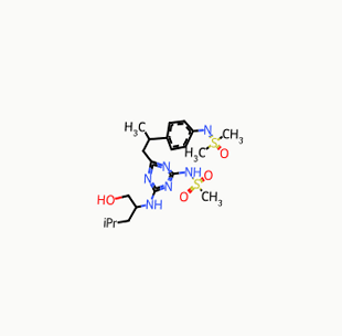 CC(C)CC(CO)Nc1nc(CC(C)c2ccc(N=S(C)(C)=O)cc2)nc(NS(C)(=O)=O)n1